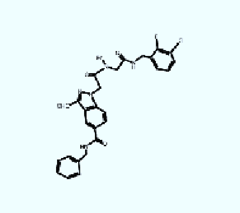 CC(C)N(CC(=O)NCc1cccc(Cl)c1F)C(=O)Cn1nc(C=O)c2cc(C(=O)NCc3ccccc3)ccc21